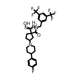 N/C(=N\O)C1(C(=O)NCc2cc(C(F)(F)F)cc(C(F)(F)F)c2)CCC(N2CCC(c3ccc(F)cc3)CC2)C1